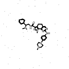 CN1CCN(c2ccc(Nc3ncc4c(n3)-c3c(c(C(=O)NCC(c5ccccc5)N(C)C)nn3C)CC4)cc2)CC1